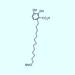 COCCCCCCCCCCCCCc1ccc(O)c(O)c1C(=O)O